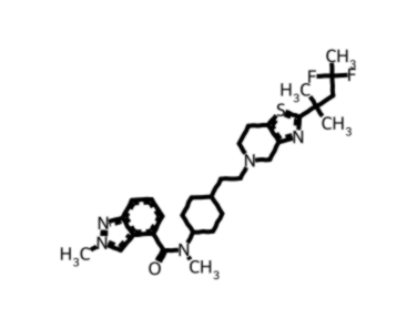 CN(C(=O)c1cccc2nn(C)cc12)C1CCC(CCN2CCc3sc(C(C)(C)CC(C)(F)F)nc3C2)CC1